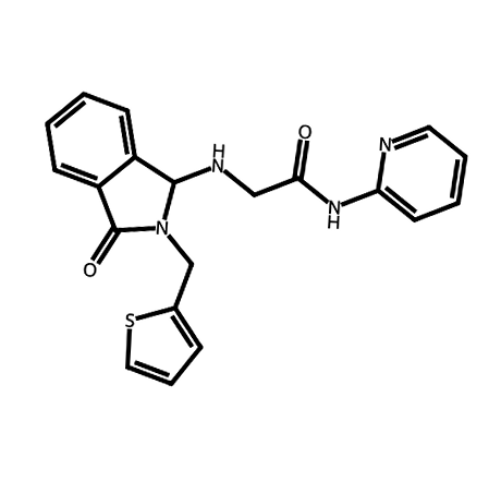 O=C(CNC1c2ccccc2C(=O)N1Cc1cccs1)Nc1ccccn1